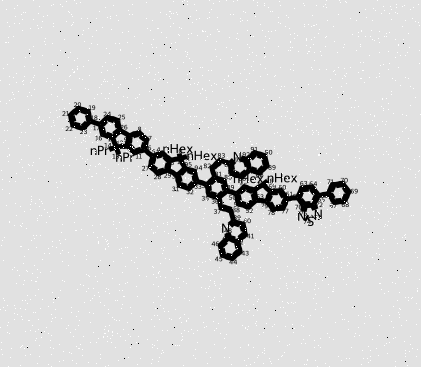 CCCCCCC1(CCCCCC)c2cc(-c3ccc4c(c3)C(CCC)(CCC)c3cc(-c5ccccc5)ccc3-4)ccc2-c2ccc(-c3cc(/C=C/c4ccc5ccccc5n4)c(-c4ccc5c(c4)C(CCCCCC)(CCCCCC)c4cc(-c6ccc(-c7ccccc7)c7nsnc67)ccc4-5)cc3/C=C\c3ccc4ccccc4n3)cc21